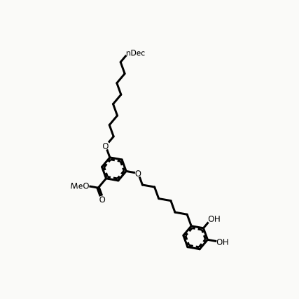 CCCCCCCCCCCCCCCCCCOc1cc(OCCCCCCc2cccc(O)c2O)cc(C(=O)OC)c1